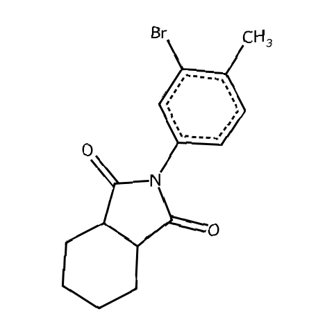 Cc1ccc(N2C(=O)C3CCCCC3C2=O)cc1Br